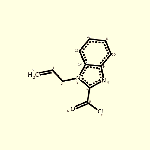 C=CCn1c(C(=O)Cl)nc2ccccc21